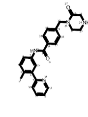 O=C(Nc1ccc(I)c(-c2ccccn2)c1)c1ccc(CN2CCNCC2=O)cc1